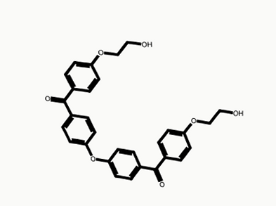 O=C(c1ccc(OCCO)cc1)c1ccc(Oc2ccc(C(=O)c3ccc(OCCO)cc3)cc2)cc1